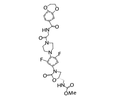 COC(=O)NC[C@H]1CN(c2cc(F)c(N3CCN(C(=O)CNC(=O)c4ccc5c(c4)OCCO5)CC3)c(F)c2)C(=O)O1